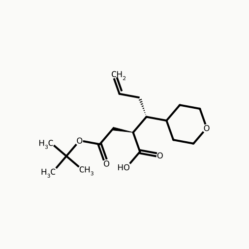 C=CC[C@H](C1CCOCC1)[C@H](CC(=O)OC(C)(C)C)C(=O)O